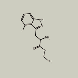 CCOC(=O)C(N)Cc1n[nH]c2cccc(F)c12